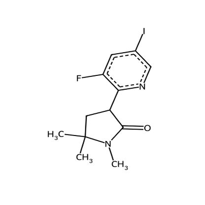 CN1C(=O)C(c2ncc(I)cc2F)CC1(C)C